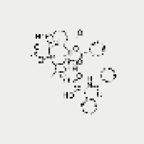 CC(=O)O[C@H]1C2=C[C@@]23C(C(CO)CC[C@@H]3O)[C@H](OC(=O)c2ccccc2)[C@]2(O)C[C@H](OC(=O)[C@H](O)C(NC(=O)c3ccccc3)c3ccccc3)C(C)=C1C2(C)C